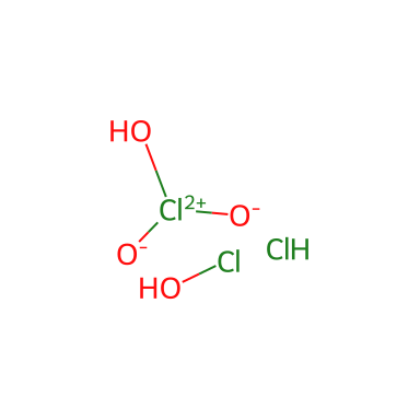 Cl.OCl.[O-][Cl+2]([O-])O